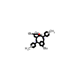 C[n+]1ccc(/C2=C/c3cc(cc(C(C)(C)C)c3)/C(c3cc[n+](C)cc3)=C\C3=CC4(C(C)(C)C)C=C2C3(C)OO4)cc1